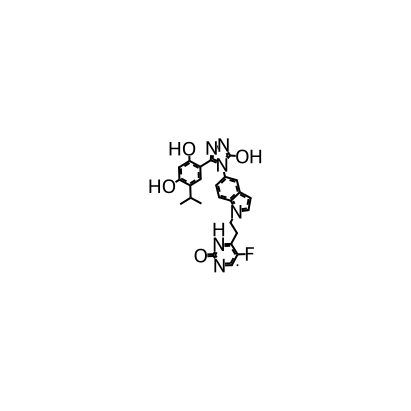 CC(C)c1cc(-c2nnc(O)n2-c2ccc3c(ccn3CCc3[nH]c(=O)n[c]c3F)c2)c(O)cc1O